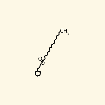 CCCCCCCCCCCCCCCC(=O)OCCCc1ccccc1